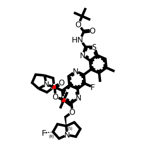 Cc1cc2sc(NC(=O)OC(C)(C)C)nc2c(-c2ncc3c(N4CC5CCC(C4)N5C(=O)OC(C)(C)C)nc(OC[C@@]45CCCN4C[C@H](F)C5)nc3c2F)c1C